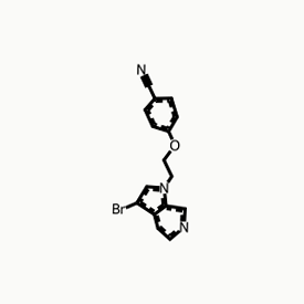 N#Cc1ccc(OCCn2cc(Br)c3ccncc32)cc1